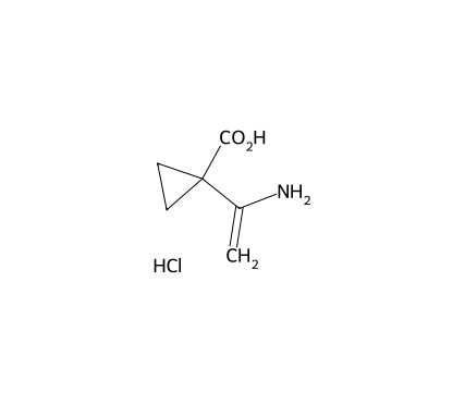 C=C(N)C1(C(=O)O)CC1.Cl